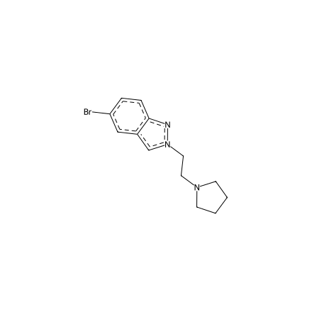 Brc1ccc2nn(CCN3CCCC3)cc2c1